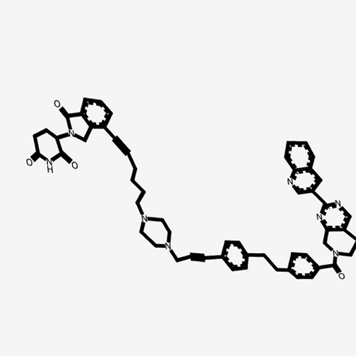 O=C1CCC(N2Cc3c(C#CCCCCN4CCN(CC#Cc5ccc(CCc6ccc(C(=O)N7CCc8cnc(-c9cnc%10ccccc%10c9)nc8C7)cc6)cc5)CC4)cccc3C2=O)C(=O)N1